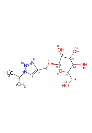 CC(C)n1cc(CO[C@@H]2OC(CO)C(O)C(O)C2O)nn1